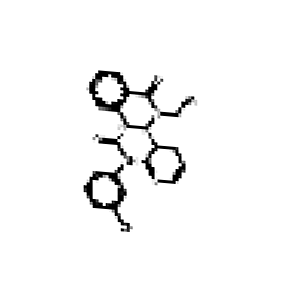 CC(C)CN1C(=O)c2ccccc2[C@@H](C(=O)Nc2cccc(C#N)c2)[C@@H]1C1C=NC=CC1